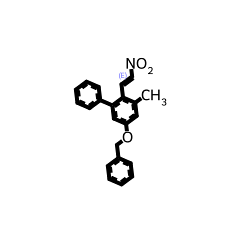 Cc1cc(OCc2ccccc2)cc(-c2ccccc2)c1/C=C/[N+](=O)[O-]